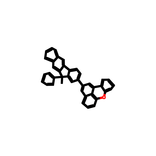 CC1(c2ccccc2)c2cc(-c3cc4c5c(cccc5c3)Oc3ccccc3-4)ccc2-c2cc3ccccc3cc21